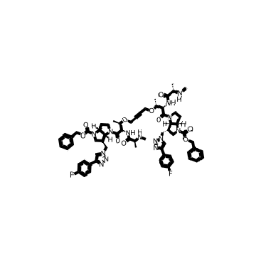 CN[C@@H](C)C(=O)N[C@H](C(=O)N1CC[C@@H]2[C@H]1[C@@H](Cn1cc(-c3ccc(F)cc3)nn1)CN2C(=O)OCc1ccccc1)[C@@H](C)OCC#CCO[C@H](C)[C@H](NC(=O)[C@H](C)NC)C(=O)N1CC[C@@H]2[C@H]1[C@@H](Cn1cc(-c3ccc(F)cc3)nn1)CN2C(=O)OCc1ccccc1